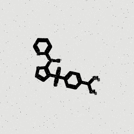 CC(C)c1ccc(S(=O)(=O)c2ccoc2[S+]([O-])c2ccccn2)cc1